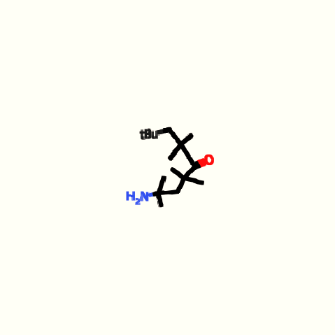 CC(C)(C)CC(C)(C)C(=O)C(C)(C)CC(C)(C)N